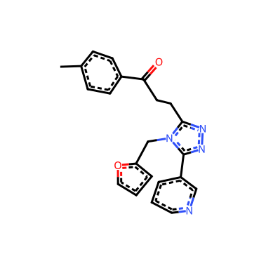 Cc1ccc(C(=O)CCc2nnc(-c3cccnc3)n2Cc2ccco2)cc1